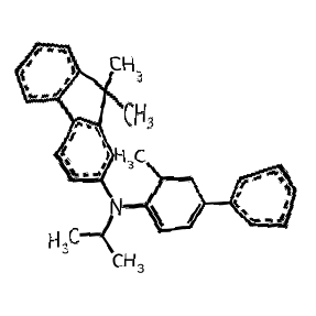 CC1CC(c2ccccc2)=CC=C1N(c1ccc2c(c1)C(C)(C)c1ccccc1-2)C(C)C